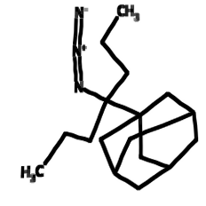 CCCC(CCC)(N=[N+]=[N-])C12CC3CC(CC(C3)C1)C2